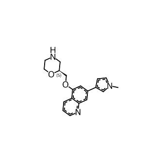 Cn1ccc(-c2cc(OC[C@@H]3CNCCO3)c3cccnc3c2)c1